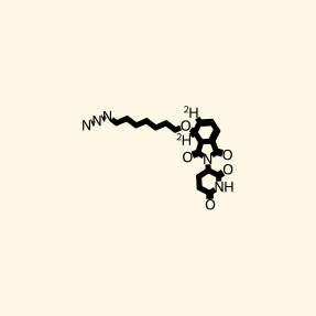 [2H]C1=CC=C2C(=O)N(C3CCC(=O)NC3=O)C(=O)C2C1([2H])OCCCCCCCN=[N+]=[N-]